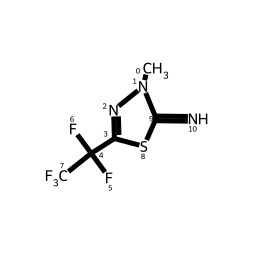 Cn1nc(C(F)(F)C(F)(F)F)sc1=N